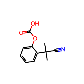 CC(C)(C#N)c1ccccc1OC(=O)O